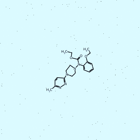 CCOC(=O)N(c1ccccc1OCC)N1CCN(c2ccc(C)nn2)CC1